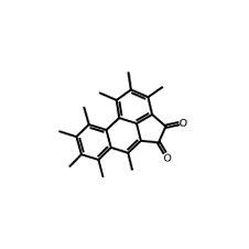 Cc1c(C)c(C)c2c(c1C)c(C)c1c3c(c(C)c(C)c(C)c32)C(=O)C1=O